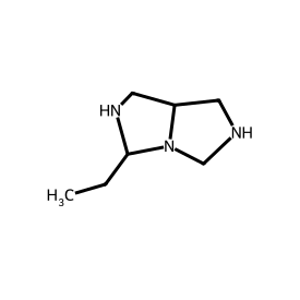 CCC1NCC2CNCN21